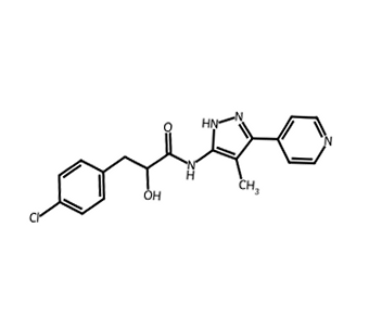 Cc1c(-c2ccncc2)n[nH]c1NC(=O)C(O)Cc1ccc(Cl)cc1